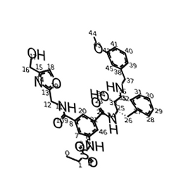 CCS(=O)(=O)Nc1cc(C(=O)NCc2nc(CO)co2)cc(C(=O)N[C@@H](Cc2ccccc2)[C@H](O)CNCc2cccc(OC)c2)c1